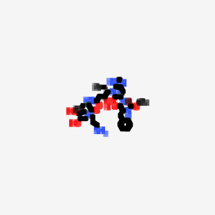 CC(C)C[C@H](NC(=O)C[C@H](O)[C@H](CC(C)C)NC(=O)[C@H](Cc1c[nH]cn1)NC(=O)[C@H](Cc1ccccc1)NC(=O)OC(C)(C)C)C(=O)[N+](CCO)(CCO)CCCN